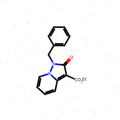 CCOC(=O)c1c(=O)n(Cc2ccccc2)n2ccccc12